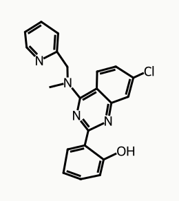 CN(Cc1ccccn1)c1nc(-c2ccccc2O)nc2cc(Cl)ccc12